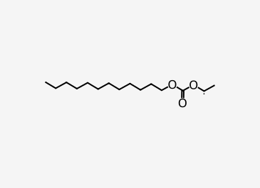 C[CH]OC(=O)OCCCCCCCCCCCC